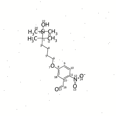 CC(C)(CCCCOc1ccc([N+](=O)[O-])c(C=O)c1)[Si](C)(C)O